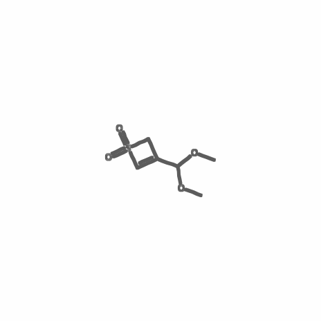 COC(OC)C1=CS(=O)(=O)C1